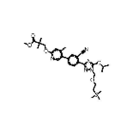 COC(=O)C(C)(C)COc1cc(C)c(-c2ccc(-c3nc(OC(C)C)n(COCCS(C)(C)C)n3)c(C#N)c2)cn1